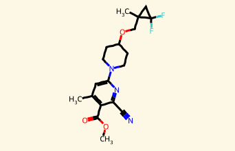 COC(=O)c1c(C)cc(N2CCC(OCC3(C)CC3(F)F)CC2)nc1C#N